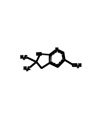 CC1(C)Cc2cc(C(=O)O)cnc2N1